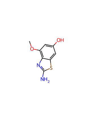 COc1cc(O)cc2sc(N)nc12